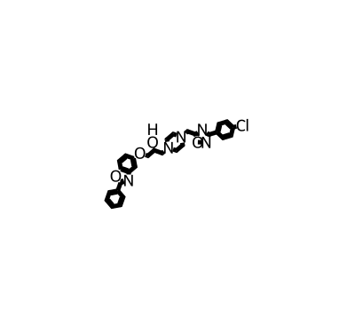 O[C@H](COc1ccc2oc(-c3ccccc3)nc2c1)CN1CCN(Cc2nc(-c3ccc(Cl)cc3)no2)CC1